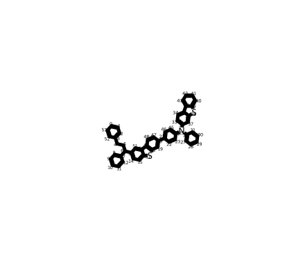 c1ccc(CCC(c2ccccc2)c2ccc3sc4cc(-c5ccc(N(c6ccccc6)c6ccc7c(c6)sc6ccccc67)cc5)ccc4c3c2)cc1